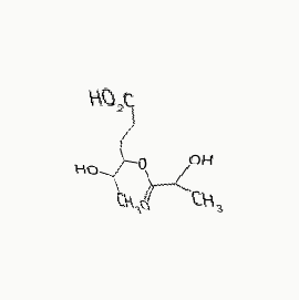 CC(O)C(=O)OC(CCC(=O)O)C(C)O